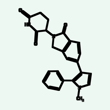 Cn1ccc(-c2ccc3c(c2)CN(C2CCC(=O)NC2=O)C3=O)c1-c1ccccc1